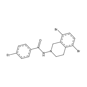 CCc1ccc(C(=O)NN2CCc3c(Br)ccc(Br)c3C2)cc1